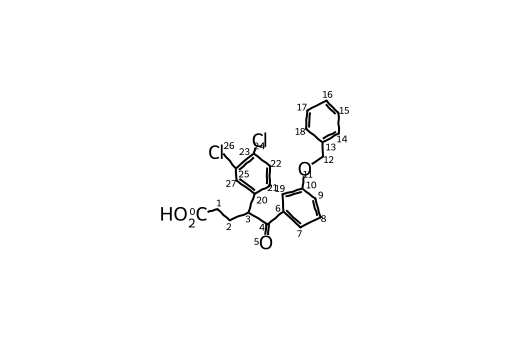 O=C(O)CCC(C(=O)c1cccc(OCc2ccccc2)c1)c1ccc(Cl)c(Cl)c1